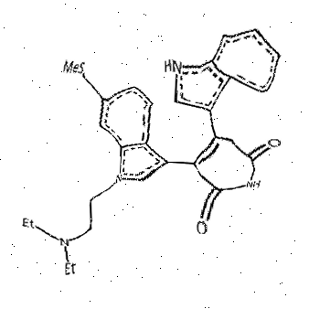 CCN(CC)CCn1cc(C2=C(c3c[nH]c4ccccc34)C(=O)NC2=O)c2ccc(SC)cc21